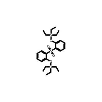 CC[Si](CC)(CC)Oc1ccccc1S(=O)(=O)c1ccccc1O[Si](CC)(CC)CC